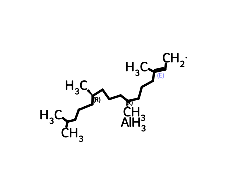 [AlH3].[CH2]/C=C(\C)CCC[C@H](C)CCC[C@H](C)CCCC(C)C